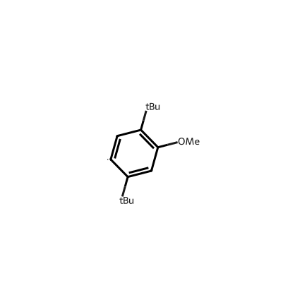 COc1cc(C(C)(C)C)[c]cc1C(C)(C)C